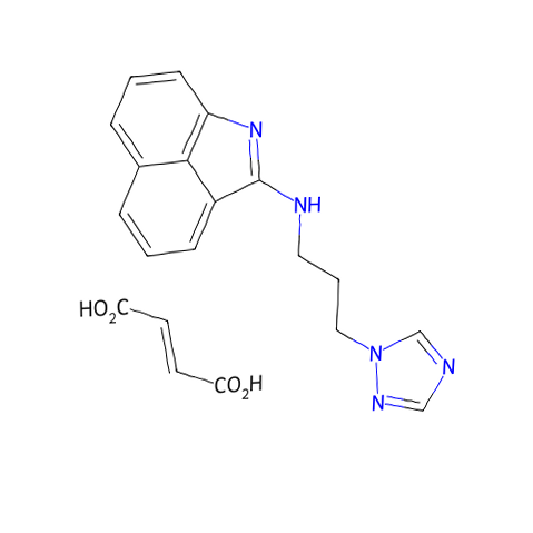 O=C(O)C=CC(=O)O.c1cc2c3c(cccc3c1)C(NCCCn1cncn1)=N2